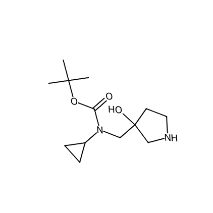 CC(C)(C)OC(=O)N(CC1(O)CCNC1)C1CC1